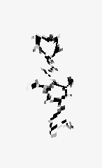 O=C(O)/C=C/c1cc(Br)c(OCc2ccccn2)c(Br)c1